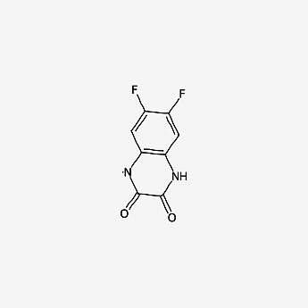 O=C1[N]c2cc(F)c(F)cc2NC1=O